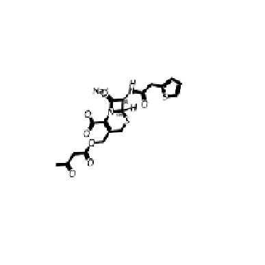 CC(=O)CC(=O)OCC1=C(C(=O)[O-])N2C(=O)[C@@H](NC(=O)Cc3cccs3)[C@@H]2SC1.[Na+]